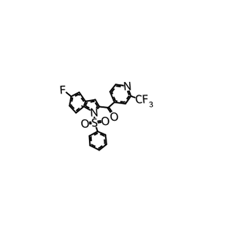 O=C(c1ccnc(C(F)(F)F)c1)c1cc2cc(F)ccc2n1S(=O)(=O)c1ccccc1